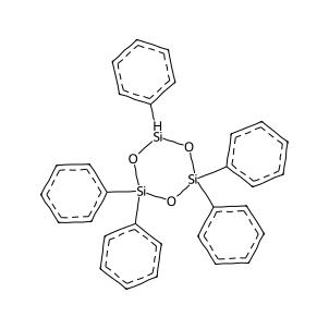 c1ccc([SiH]2O[Si](c3ccccc3)(c3ccccc3)O[Si](c3ccccc3)(c3ccccc3)O2)cc1